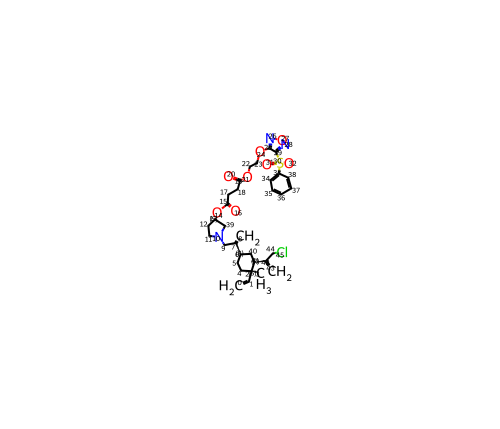 C=C[C@]1(C)CC[C@@H](C(=C)CN2CC[C@H](OC(=O)CCC(=O)OCCOc3nonc3S(=O)(=O)c3ccccc3)C2)C[C@H]1C(=C)CCl